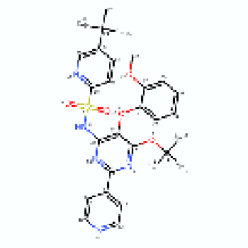 [2H]C([2H])([2H])Oc1nc(-c2ccncc2)nc(NS(=O)(=O)c2ccc(C([2H])([2H])C)cn2)c1Oc1ccccc1OC